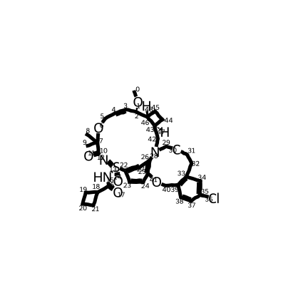 CO[C@H]1/C=C/COC(C)(C)C(=O)N=[S@](=O)(NC(=O)C2CCC2)c2ccc3c(c2)N(CCCCc2cc(Cl)ccc2CO3)C[C@@H]2CC[C@H]21